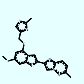 COc1cc(OCc2csc(C)n2)c2cc(-c3cn4nc(C)ccc4n3)oc2c1